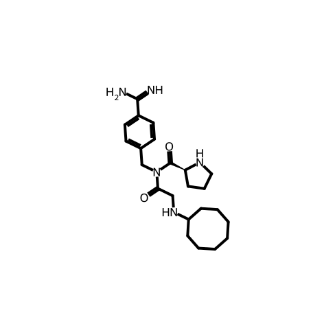 N=C(N)c1ccc(CN(C(=O)CNC2CCCCCCC2)C(=O)[C@@H]2CCCN2)cc1